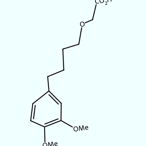 COc1ccc(CCCCOCC(=O)O)cc1OC